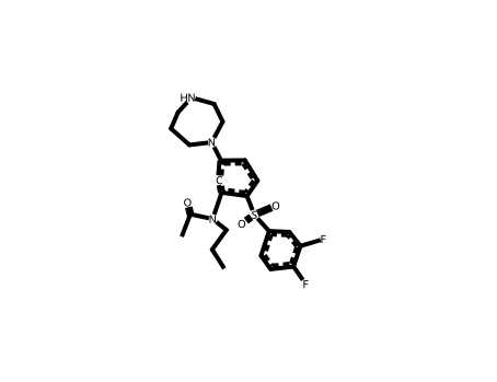 CCCN(C(C)=O)c1cc(N2CCCNCC2)ccc1S(=O)(=O)c1ccc(F)c(F)c1